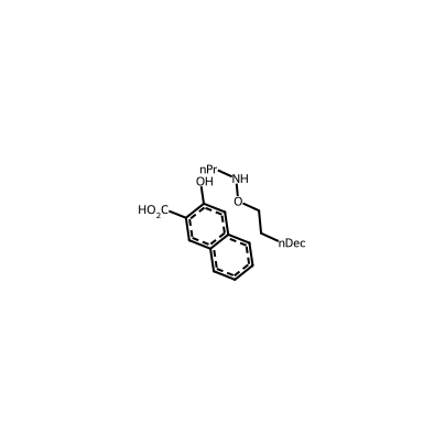 CCCCCCCCCCCCONCCC.O=C(O)c1cc2ccccc2cc1O